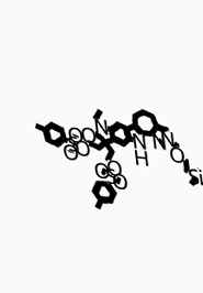 CCN1C(=O)C(CCOS(=O)(=O)c2ccc(C)cc2)(CCOS(=O)(=O)c2ccc(C)cc2)c2cc3[nH]c4c(c3cc21)CCCc1cn(COCC[Si](C)(C)C)nc1-4